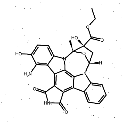 CCOC(=O)[C@]1(O)C[C@H]2O[C@]1(C)n1c3ccc(O)c(N)c3c3c4c(c5c6ccccc6n2c5c31)C(=O)NC4=O